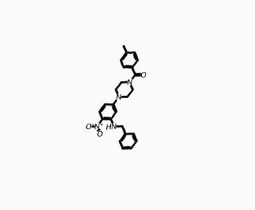 Cc1ccc(C(=O)N2CCN(c3ccc([N+](=O)[O-])c(NCc4ccccc4)c3)CC2)cc1